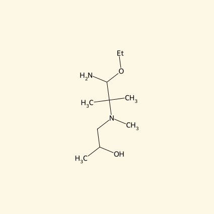 CCOC(N)C(C)(C)N(C)CC(C)O